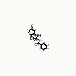 O=C(NC(=S)Nc1cc(Cl)cnc1Br)c1ccccc1